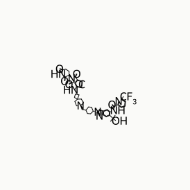 CC(C)(O)c1cc2nn(C3CCC(CN4CCC5(CC4)CC(Nc4cccc6c4C(=O)N(C4CCC(=O)NC4=O)C6=O)C5)CC3)cc2cc1NC(=O)c1cccc(C(F)(F)F)n1